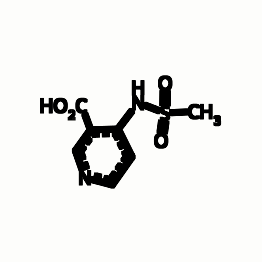 CS(=O)(=O)Nc1ccncc1C(=O)O